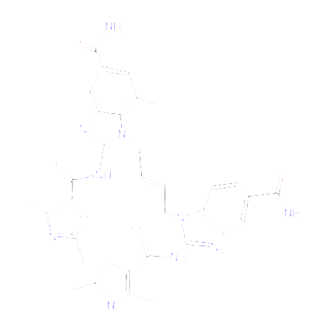 Cc1nc(C)c(C(=O)Nc2nc3cc(C(N)=O)ccc3n2C/C=C/Cn2c(NC(=O)c3oc(C)nc3C)nc3cc(C(N)=O)cc(C)c32)o1